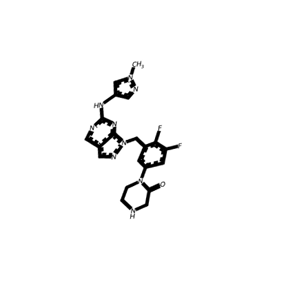 Cn1cc(Nc2ncc3cnn(Cc4cc(N5CCNCC5=O)cc(F)c4F)c3n2)cn1